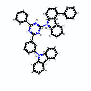 c1ccc(-c2nc(-c3cccc(-n4c5ccccc5c5ccccc54)c3)nc(-n3c4ccccc4c4c(-c5ccccc5)cccc43)n2)cc1